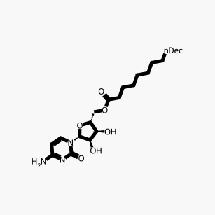 CCCCCCCCCCCCCCCCCC(=O)OC[C@H]1O[C@@H](n2ccc(N)nc2=O)[C@H](O)[C@@H]1O